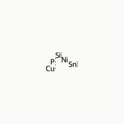 [Cu].[Ni].[P].[Si].[Sn]